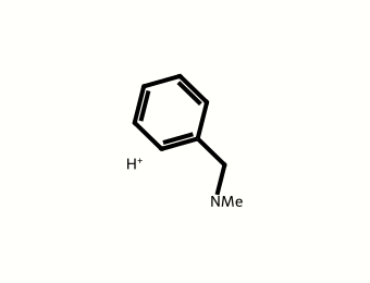 CNCc1ccccc1.[H+]